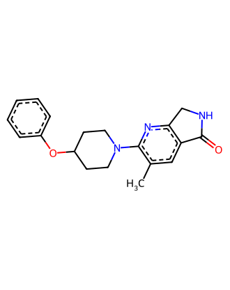 Cc1cc2c(nc1N1CCC(Oc3ccccc3)CC1)CNC2=O